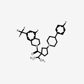 CC(C)C1(C(=O)N2CCc3c(F)cc(C(F)(F)F)cc3C2)CCC(N2CCC(c3ccc(F)cc3)CC2)C1